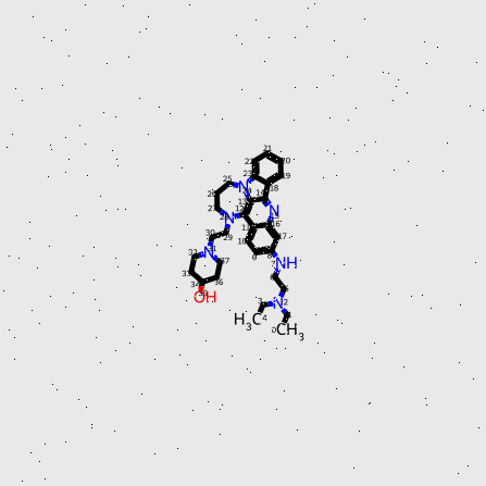 CCN(CC)CCNc1ccc2c3c4c(nc2c1)c1ccccc1n4CCCN3CCN1CCC(O)CC1